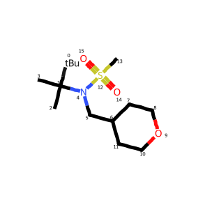 CC(C)(C)C(C)(C)N(CC1CCOCC1)S(C)(=O)=O